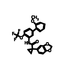 COc1ccccc1-c1ccc(OC(F)(F)F)c(NC(=O)C2(c3ccc4c(c3)OCO4)CC2)c1